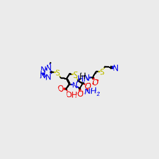 Cn1nnnc1SCC1=C(C(=O)O)N2C(=O)[C@](NC(=O)CSCC#N)(ON)[C@H]2SC1